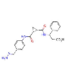 NN=Cc1ccc(NC(=O)C2CC2C(=O)NC(CC(=O)O)c2ccccc2)cc1